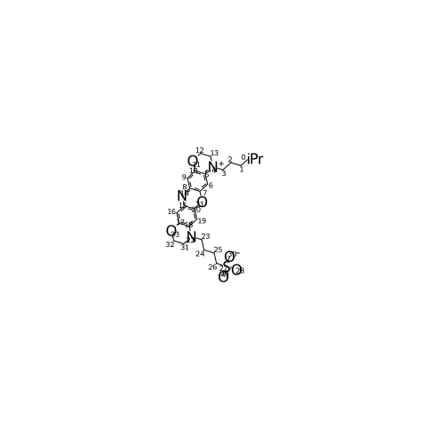 CC(C)CCC[N+]1=c2cc3c(cc2OCC1)=Nc1cc2c(cc1O3)N(CCCCS(=O)(=O)[O-])CCO2